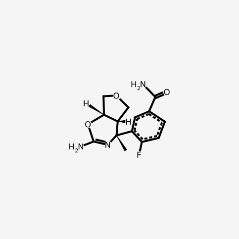 C[C@@]1(c2cc(C(N)=O)ccc2F)N=C(N)O[C@@H]2COC[C@@H]21